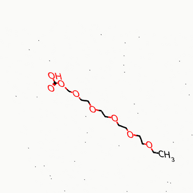 CCOCCOCCOCCOCCOCOC(=O)O